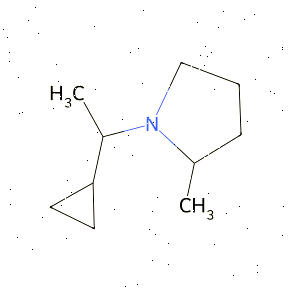 CC1CCCN1C(C)C1CC1